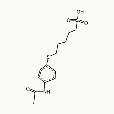 CC(=O)Nc1ccc(SCCCCCS(=O)(=O)O)cc1